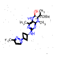 CO[C@H](C)[C@H]1C(O)Nc2c(C)nc(N[C@H]3C[C@H](n4ccc(C(F)(F)F)n4)C3)nc2N1C